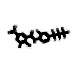 Cc1cc([N+](=O)[O-])cc(C(=O)Nc2ncc(C(F)(F)C(F)(F)C(F)(F)F)cc2F)c1Br